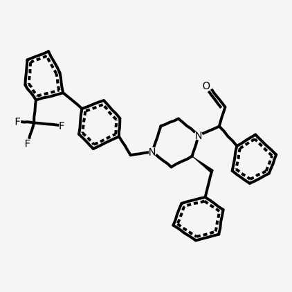 O=CC(c1ccccc1)N1CCN(Cc2ccc(-c3ccccc3C(F)(F)F)cc2)C[C@@H]1Cc1ccccc1